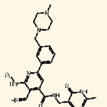 Cc1ccc(CNC(=O)c2cc(-c3cccc(CN4CCN(C)CC4)c3)nc(NC(C)C)c2C=N)c(=O)[nH]1